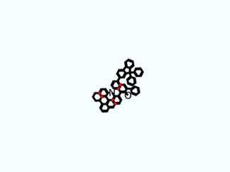 c1ccc(C2(c3ccccc3)c3ccccc3-c3ccc(-c4ccc(N(c5ccccc5-c5cccc6c5oc5ccccc56)c5ccccc5-c5cccc6cccc(C7CCCCC7)c56)cc4)cc32)cc1